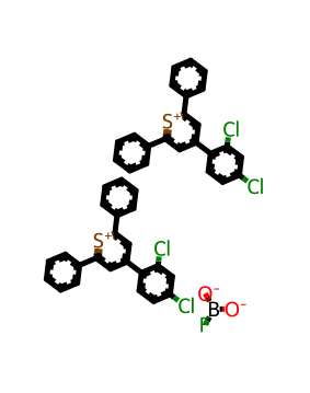 Clc1ccc(-c2cc(-c3ccccc3)[s+]c(-c3ccccc3)c2)c(Cl)c1.Clc1ccc(-c2cc(-c3ccccc3)[s+]c(-c3ccccc3)c2)c(Cl)c1.[O-]B([O-])F